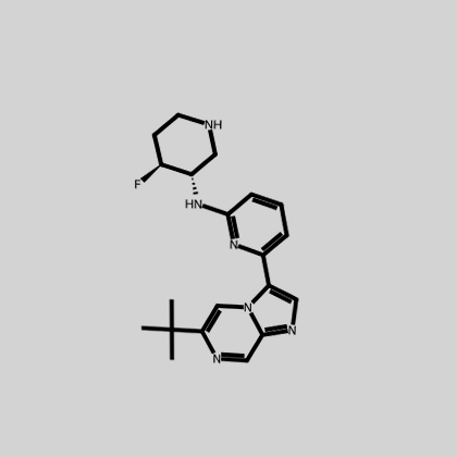 CC(C)(C)c1cn2c(-c3cccc(N[C@H]4CNCC[C@@H]4F)n3)cnc2cn1